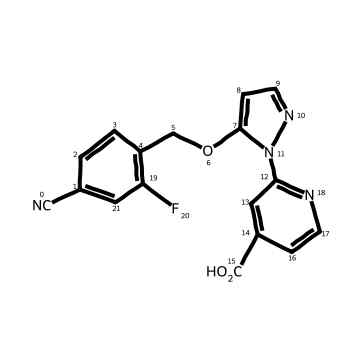 N#Cc1ccc(COc2ccnn2-c2cc(C(=O)O)ccn2)c(F)c1